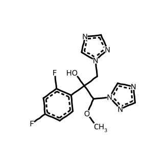 COC(n1cncn1)C(O)(Cn1cncn1)c1ccc(F)cc1F